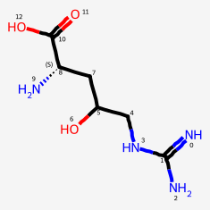 N=C(N)NCC(O)C[C@H](N)C(=O)O